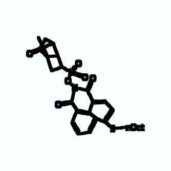 CCCCCCCCSc1ccc2c3c(cccc13)C(=O)N(OS(=O)(=O)C1CC34C(=O)CC(C13)C4(C)C)C2=O